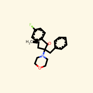 C=CCC(Cc1ccccc1)(C(=O)c1ccc(F)cc1)N1CCOCC1